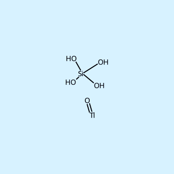 O[Si](O)(O)O.[O]=[Tl]